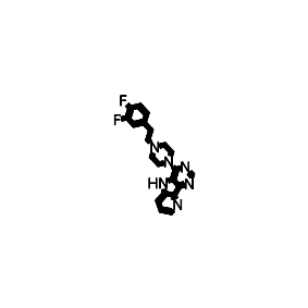 Fc1ccc(CCN2CCN(c3ncnc4c3[nH]c3cccnc34)CC2)cc1F